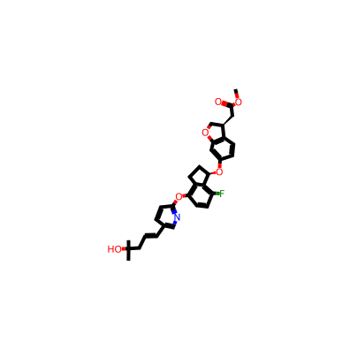 COC(=O)C[C@@H]1COc2cc(O[C@@H]3CCc4c(Oc5ccc(C=CCC(C)(C)O)cn5)ccc(F)c43)ccc21